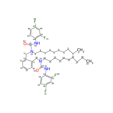 CCCCCCCCCCN(Cc1ccccc1CN(CCCCCCCCCC)C(=O)Nc1ccc(F)cc1F)C(=O)Nc1ccc(F)cc1F